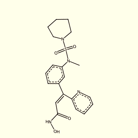 CN(c1cccc(C(=CC(=O)NO)c2ccccn2)c1)S(=O)(=O)N1CCCCC1